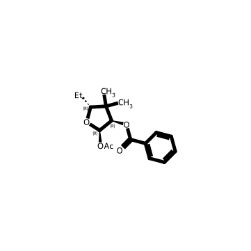 CC[C@H]1O[C@H](OC(C)=O)[C@H](OC(=O)c2ccccc2)C1(C)C